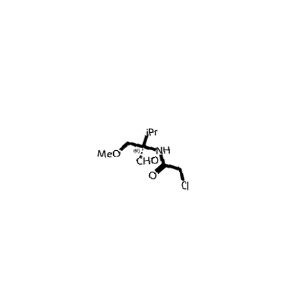 COC[C@](C=O)(NC(=O)CCl)C(C)C